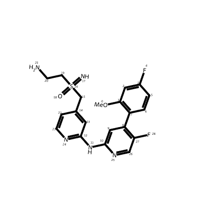 COc1cc(F)ccc1-c1cc(Nc2cc(CS(=N)(=O)CCN)ccn2)ncc1F